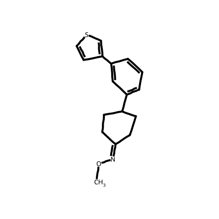 CON=C1CCC(c2cccc(-c3ccsc3)c2)CC1